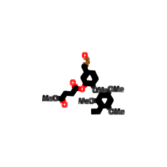 C=Cc1c(OC)cc(OC)cc1OC.COC(=O)CCC(=O)Oc1cc(C=S=O)ccc1OC